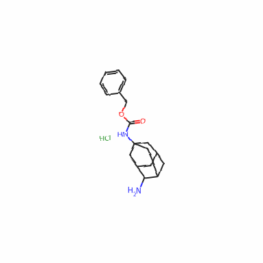 Cl.NC1C2CC3CC1CC(NC(=O)OCc1ccccc1)(C3)C2